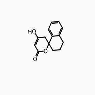 O=C1C=C(O)CC2(CCCc3ccccc32)O1